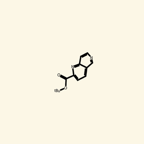 CC(C)(C)OC(=O)c1ccc2cnccc2n1